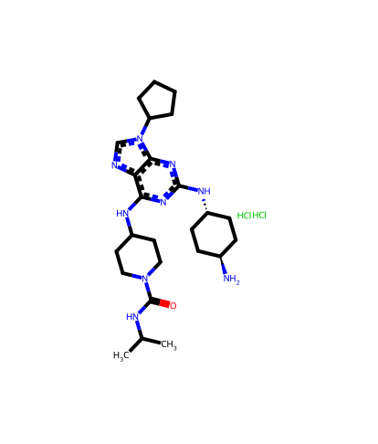 CC(C)NC(=O)N1CCC(Nc2nc(N[C@H]3CC[C@H](N)CC3)nc3c2ncn3C2CCCC2)CC1.Cl.Cl